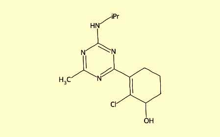 Cc1nc(NC(C)C)nc(C2=C(Cl)C(O)CCC2)n1